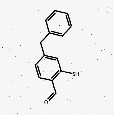 O=Cc1ccc(Cc2ccccc2)cc1S